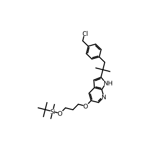 CC(C)(Cc1ccc(CCl)cc1)c1cc2cc(OCCCO[Si](C)(C)C(C)(C)C)cnc2[nH]1